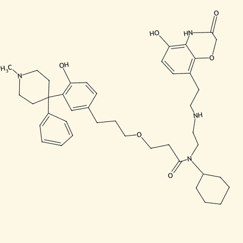 CN1CCC(c2ccccc2)(c2cc(CCCOCCC(=O)N(CCNCCc3ccc(O)c4c3OCC(=O)N4)C3CCCCC3)ccc2O)CC1